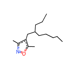 CCCCCC(CCC)Cc1c(C)noc1C